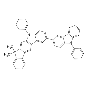 CC1(C)c2ccccc2-c2cc3c4cc(-c5ccc6c(c5)c5ccccc5n6-c5ccccc5)ccc4n(C4=CC=CCC4)c3cc21